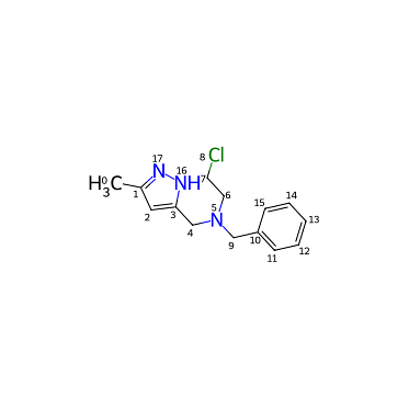 Cc1cc(CN(CCCl)Cc2ccccc2)[nH]n1